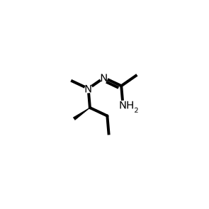 CC[C@@H](C)N(C)/N=C(/C)N